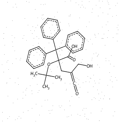 CC(C)(C)OC(CC(=C=O)CO)(C(=O)O)C(c1ccccc1)(c1ccccc1)c1ccccc1